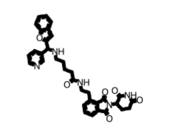 O=C(CCCCNC(c1cccnc1)c1cc2ccccc2o1)NCCc1cccc2c1C(=O)N(C1CCC(=O)NC1=O)C2=O